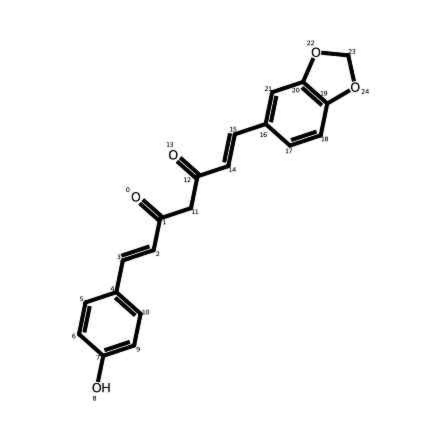 O=C(/C=C/c1ccc(O)cc1)CC(=O)/C=C/c1ccc2c(c1)OCO2